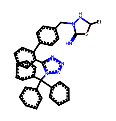 CCC1NN(Cc2ccc(-c3ccccc3-c3nnnn3C(c3ccccc3)(c3ccccc3)c3ccccc3)cc2)C(=N)S1